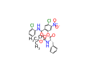 CC(C)(C)OC(=O)N[C@@H](Cc1ccccc1)C(=O)Oc1cc([N+](=O)[O-])c(Cl)cc1C(=O)Nc1ccccc1Cl